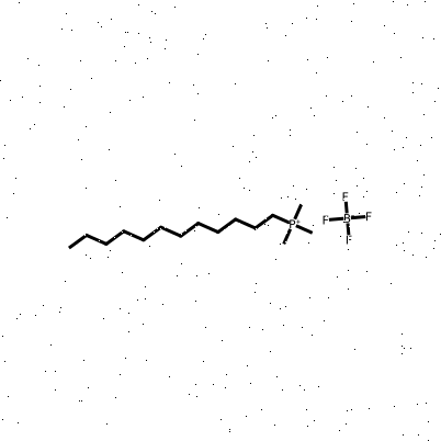 CCCCCCCCCCCC[P+](C)(C)C.F[B-](F)(F)F